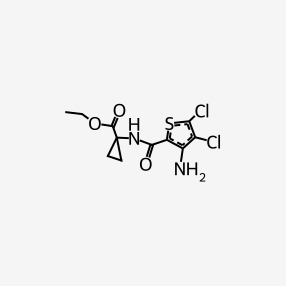 CCOC(=O)C1(NC(=O)c2sc(Cl)c(Cl)c2N)CC1